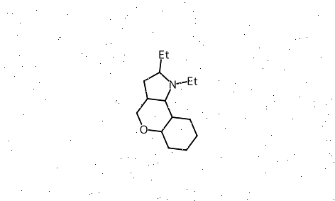 CCC1CC2COC3CCCCC3C2N1CC